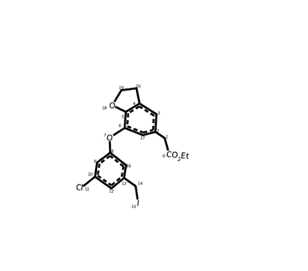 CCOC(=O)Cc1cc2c(c(Oc3cc(Cl)cc(CI)c3)c1)OCC2